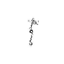 CC(C)(CCCCOc1ccc(OCCCCCn2ccnc2)cc1)C(=O)O